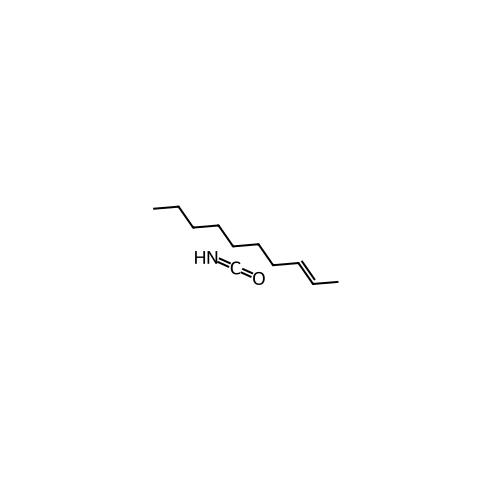 CC=CCCCCCCC.N=C=O